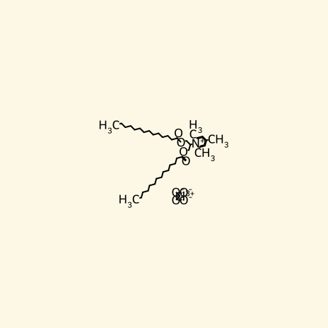 CCCCCCCCCCCCCC(=O)OCC(COC(=O)CCCCCCCCCCCCC)[n+]1c(C)cc(C)cc1C.[O-][Cl+3]([O-])([O-])[O-]